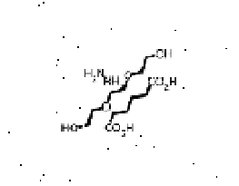 N.N.O=C(O)CCCCC(=O)O.OCCOCCOCCO